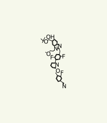 COCCn1c(Cc2cc(F)c(-c3cccc(OCc4ccc(C#N)cc4F)n3)cc2F)nc2ccc(C(O)OC(C)(C)C)cc21